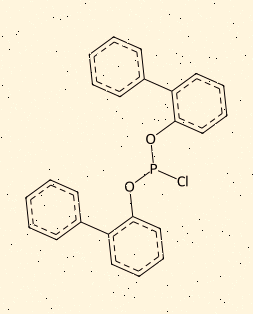 ClP(Oc1ccccc1-c1ccccc1)Oc1ccccc1-c1ccccc1